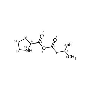 CC(S)CC(=O)OC(=O)[C@@H]1CCCN1